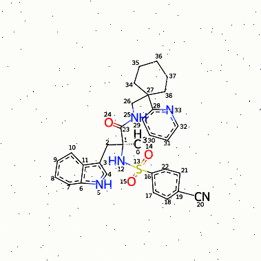 C[C@@](Cc1c[nH]c2ccccc12)(NS(=O)(=O)c1ccc(C#N)cc1)C(=O)NCC1(c2ccccn2)CCCCC1